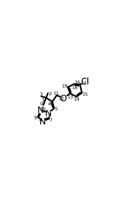 CC(C)(C)C(=Cn1cncn1)COc1ccc(Cl)cc1